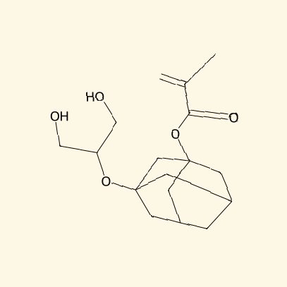 C=C(C)C(=O)OC12CC3CC(C1)CC(OC(CO)CO)(C3)C2